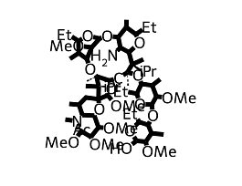 CCC1OC2C(N)C(OC3OC(CC)C(C)C(O[C@](C)([C@@](C)(C(C)C)C4(C(=O)OC)CC(C)C(N(C)C(C)=O)C(C(OC)C(COC)OC)O4)CC[C@](C)(OC4C(CC)OC(OC5C(CC)OC(O)C(OC)C5C)C(OC)C4C)[C@]2(C)C(C)C)C3OC)C1C